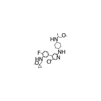 COC[C@H](C)N[C@H]1CC[C@H](Nc2cc(-c3ccc(F)c(NCC4(OC)CC4)c3)c(Cl)cn2)CC1